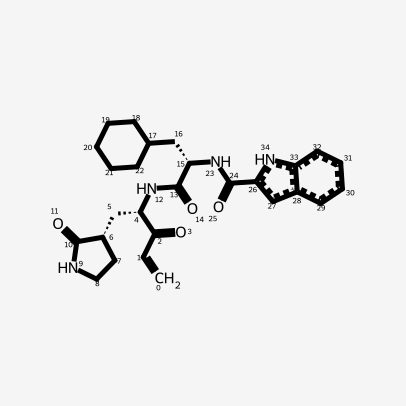 C=CC(=O)[C@H](C[C@@H]1CCNC1=O)NC(=O)[C@H](CC1CCCCC1)NC(=O)c1cc2ccccc2[nH]1